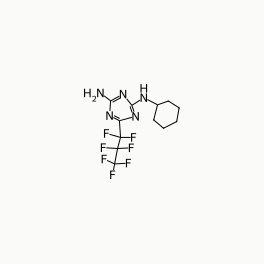 Nc1nc(NC2CCCCC2)nc(C(F)(F)C(F)(F)C(F)(F)F)n1